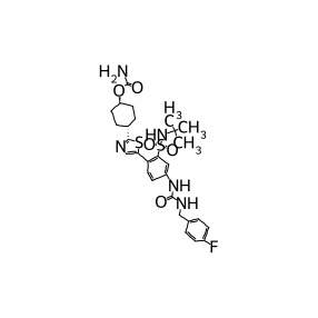 CC(C)(C)NS(=O)(=O)c1cc(NC(=O)NCc2ccc(F)cc2)ccc1-c1cnc([C@H]2CC[C@H](OC(N)=O)CC2)s1